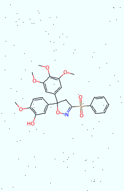 COc1ccc(C2(c3cc(OC)c(OC)c(OC)c3)CC(S(=O)(=O)c3ccccc3)=NO2)cc1O